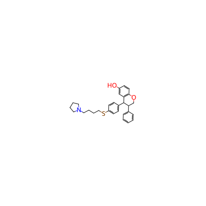 Oc1ccc2c(c1)C(c1ccc(SCCCCN3CCCC3)cc1)C(c1ccccc1)CO2